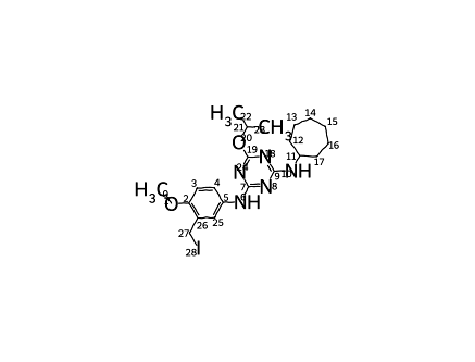 COc1ccc(Nc2nc(NC3CCCCCC3)nc(OC(C)C)n2)cc1CI